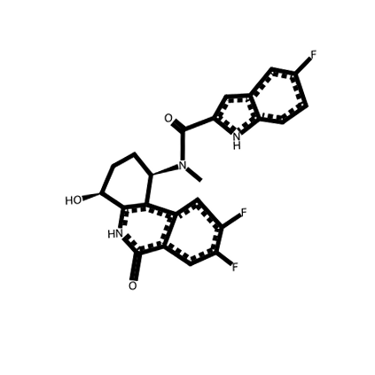 CN(C(=O)c1cc2cc(F)ccc2[nH]1)[C@@H]1CC[C@H](O)c2[nH]c(=O)c3cc(F)c(F)cc3c21